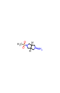 CS(=O)(=O)N1C[C@H]2CN(N)C[C@H]2C1